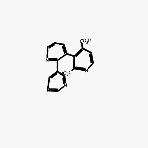 O=C(O)c1ccnc(C(=O)O)c1-c1cccnc1-c1cccnc1